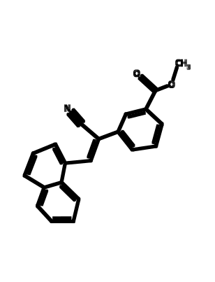 COC(=O)c1cccc(C(C#N)=Cc2cccc3ccccc23)c1